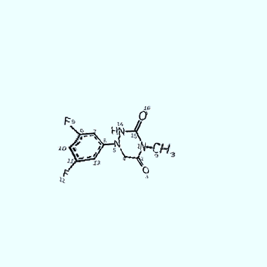 CN1C(=O)CN(c2cc(F)cc(F)c2)NC1=O